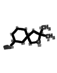 CC1(C)CC2(CCCC(C(C)(C)C)C2)CO1